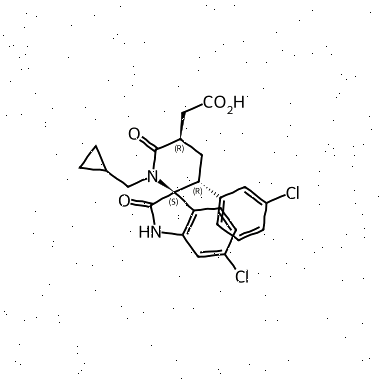 O=C(O)C[C@H]1C[C@H](c2cccc(Cl)c2)[C@]2(C(=O)Nc3cc(Cl)ccc32)N(CC2CC2)C1=O